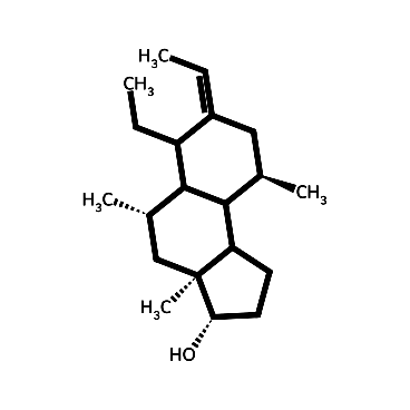 C/C=C1/C[C@@H](C)C2C(C1CC)[C@@H](C)C[C@@]1(C)C2CC[C@@H]1O